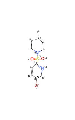 CC1CCN(S(=O)(=O)c2ccc(Br)cn2)CC1